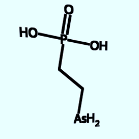 O=P(O)(O)CC[AsH2]